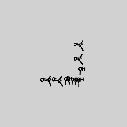 CO.CO.CO.CO.CO.CO.C[S+](C)[O-].C[S+](C)[O-].C[S+](C)[O-].C[S+](C)[O-]